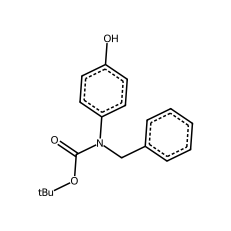 CC(C)(C)OC(=O)N(Cc1ccccc1)c1ccc(O)cc1